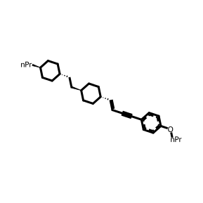 CCCOc1ccc(C#CC=C[C@H]2CC[C@H](CC[C@H]3CC[C@H](CCC)CC3)CC2)cc1